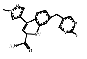 Cn1cc(C2=CC(C(N)=O)Nc3cc(Cc4cnc(F)nc4)ccc32)cn1